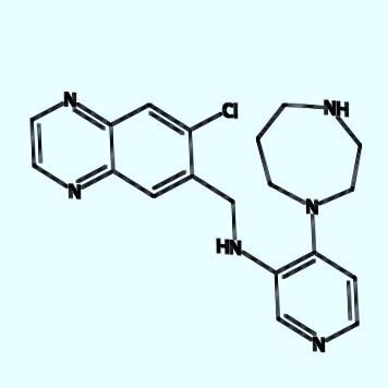 Clc1cc2nccnc2cc1CNc1cnccc1N1CCCNCC1